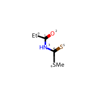 CCC(=O)NC(=S)SC